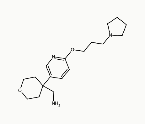 NCC1(c2ccc(OCCCN3CCCC3)nc2)CCOCC1